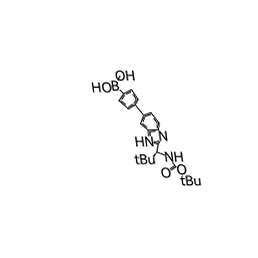 CC(C)(C)OC(=O)N[C@H](c1nc2ccc(-c3ccc(B(O)O)cc3)cc2[nH]1)C(C)(C)C